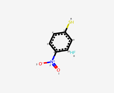 F.O=[N+]([O-])c1ccc(S)cc1